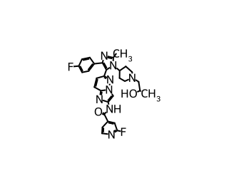 Cc1nc(-c2ccc(F)cc2)c(-c2ccc3nc(NC(=O)c4ccnc(F)c4)cn3n2)n1C1CCN(C[C@H](C)O)CC1